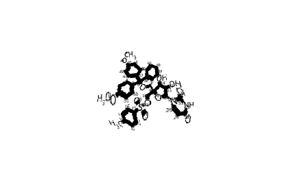 COc1ccc(C(OC[C@]2(COS(=O)(=O)c3ccc(C)cc3)O[C@H](n3ccc(=O)[nH]c3=O)C(O)C2O)(c2ccccc2)c2ccc(OC)cc2)cc1